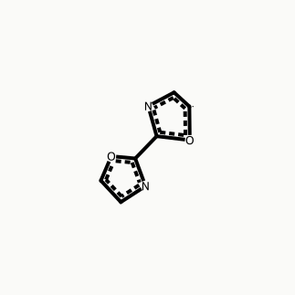 [c]1cnc(-c2ncco2)o1